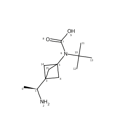 C[C@H](N)C12CC(N(C(=O)O)C(C)(C)C)(C1)C2